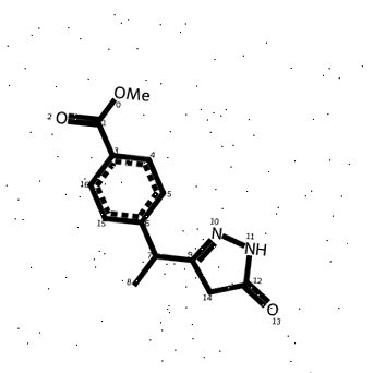 COC(=O)c1ccc(C(C)C2=NNC(=O)C2)cc1